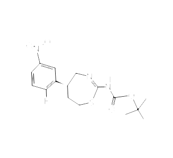 CC(C)(C)OC(=O)NC1=NC[C@H](c2cc([N+](=O)[O-])ccc2F)CCS1